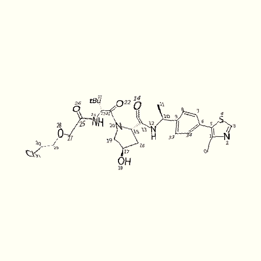 Cc1ncsc1-c1ccc([C@H](C)NC(=O)[C@@H]2C[C@@H](O)CN2C(=O)[C@H](NC(=O)COCCCl)C(C)(C)C)cc1